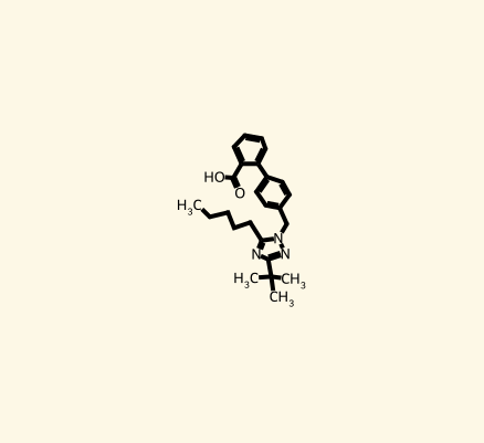 CCCCCc1nc(C(C)(C)C)nn1Cc1ccc(-c2ccccc2C(=O)O)cc1